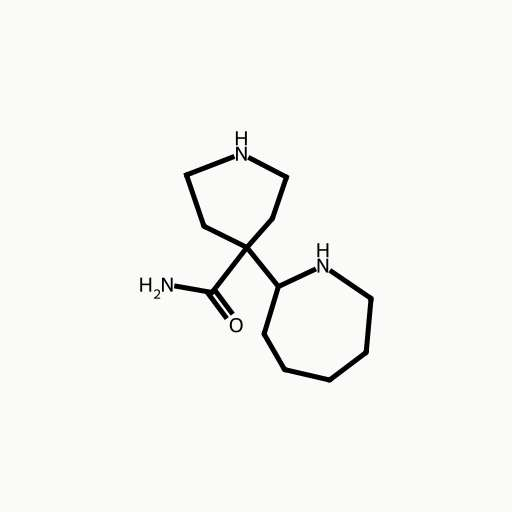 NC(=O)C1(C2CCCCCN2)CCNCC1